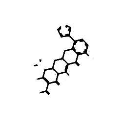 CN(C)[C@H]1C(O)=C(C(N)=O)C(=O)[C@]2(O)C(O)=C3C(=O)c4c(O)ccc(-c5ccoc5)c4C[C@@H]3C[C@H]12